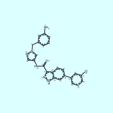 Nc1cccc(Cn2cc(NC(=O)c3n[nH]c4cc(-c5cncc(Cl)c5)ccc34)cn2)c1